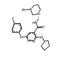 CC(C)N1CCC[C@H](CNC(=O)c2cc(Oc3ccc(F)cc3)nnc2OC2CCCC2)C1